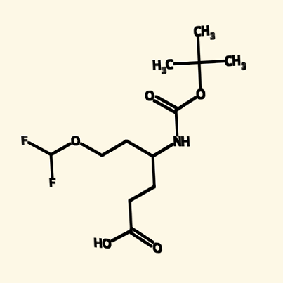 CC(C)(C)OC(=O)NC(CCOC(F)F)CCC(=O)O